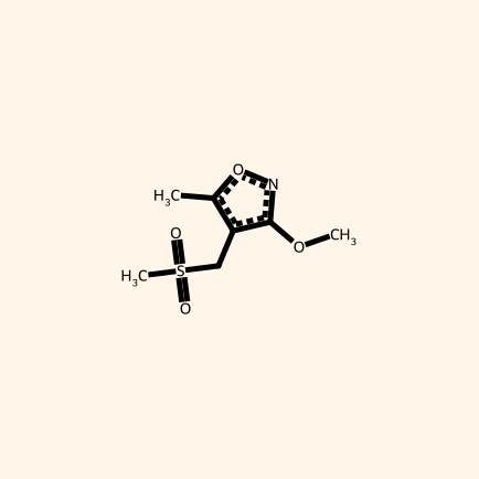 COc1noc(C)c1CS(C)(=O)=O